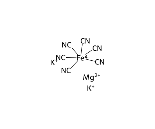 N#[C][Fe-4]([C]#N)([C]#N)([C]#N)([C]#N)[C]#N.[K+].[K+].[Mg+2]